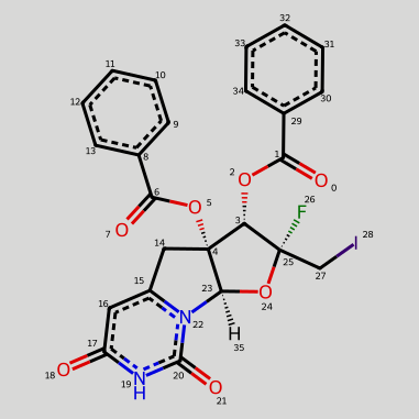 O=C(O[C@H]1[C@]2(OC(=O)c3ccccc3)Cc3cc(=O)[nH]c(=O)n3[C@@H]2O[C@]1(F)CI)c1ccccc1